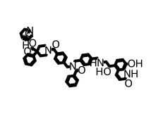 O=C(c1ccc(CN(Cc2ccc(CNCC(O)c3ccc(O)c4[nH]c(=O)ccc34)cc2)C(=O)c2ccccc2)cc1)N1CCC(C(=O)O[C@H]2CN3CCC2CC3)(c2ccccc2)CC1